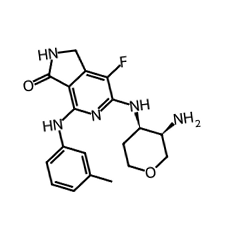 Cc1cccc(Nc2nc(N[C@@H]3CCOC[C@@H]3N)c(F)c3c2C(=O)NC3)c1